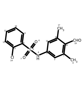 Cc1cc(NS(=O)(=O)c2ccccc2Cl)cc(C)c1C=O